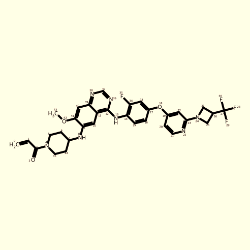 C=CC(=O)N1CCC(Nc2cc3c(Nc4ccc(Oc5ccnc(N6CC(C(F)(F)F)C6)c5)cc4F)ncnc3cc2OC)CC1